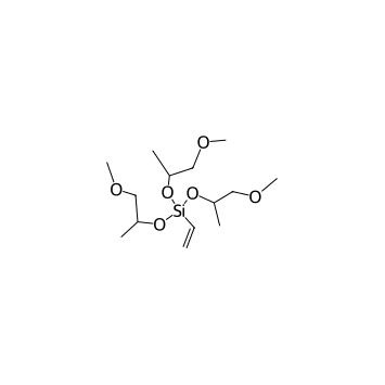 C=C[Si](OC(C)COC)(OC(C)COC)OC(C)COC